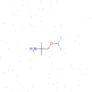 CC(C)(N)COC(F)F